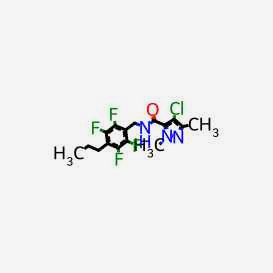 CCCc1c(F)c(F)c(CNC(=O)c2c(Cl)c(C)nn2C)c(F)c1F